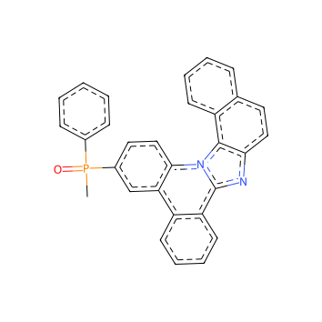 CP(=O)(c1ccccc1)c1ccc2c(c1)c1ccccc1c1nc3ccc4ccccc4c3n21